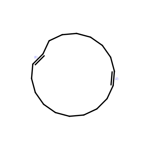 C1=C\CCCCCCCC/C=C/CCCCCC/1